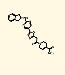 NC(=O)C1=CCN(C(=O)Cc2nnc(-c3cnc(NC4Cc5ccccc5C4)nc3)o2)CC1